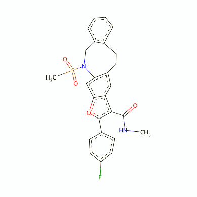 CNC(=O)c1c(-c2ccc(F)cc2)oc2cc3c(cc12)CCc1ccccc1CN3S(C)(=O)=O